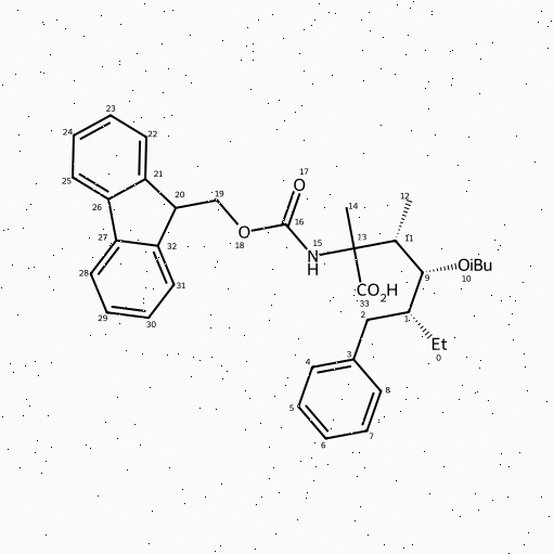 CC[C@H](Cc1ccccc1)[C@@H](OCC(C)C)[C@@H](C)C(C)(NC(=O)OCC1c2ccccc2-c2ccccc21)C(=O)O